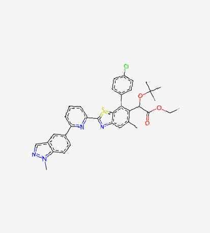 CCOC(=O)C(OC(C)(C)C)c1c(C)cc2nc(-c3cccc(-c4ccc5c(cnn5C)c4)n3)sc2c1-c1ccc(Cl)cc1